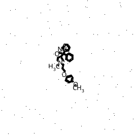 COc1ccc(OCCC[N+]2(C)CCC(C(C(N)=O)(c3ccccc3)c3ccccc3)C2)cc1